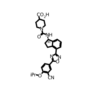 CC(C)Oc1ccc(-c2nc(-c3cccc4c3CC[C@H]4NC(=O)N3CCC(C(=O)O)CC3)no2)cc1C#N